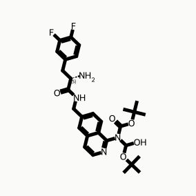 CC(C)(C)OC(=O)N(c1nccc2cc(CNC(=O)[C@@H](N)Cc3ccc(F)c(F)c3)ccc12)C(O)OC(C)(C)C